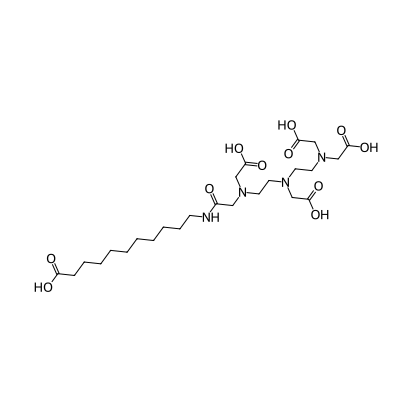 O=C(O)CCCCCCCCCCNC(=O)CN(CCN(CCN(CC(=O)O)CC(=O)O)CC(=O)O)CC(=O)O